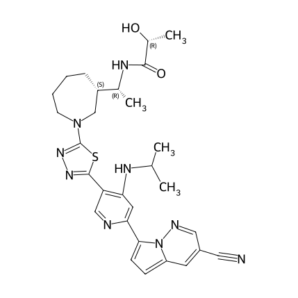 CC(C)Nc1cc(-c2ccc3cc(C#N)cnn23)ncc1-c1nnc(N2CCCC[C@H]([C@@H](C)NC(=O)[C@@H](C)O)C2)s1